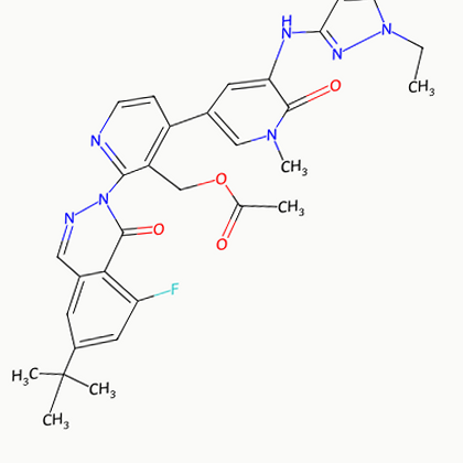 CCn1ccc(Nc2cc(-c3ccnc(-n4ncc5cc(C(C)(C)C)cc(F)c5c4=O)c3COC(C)=O)cn(C)c2=O)n1